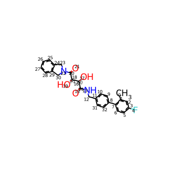 Cc1cc(F)ccc1-c1ccc(CNC(=O)[C@H](O)[C@@H](O)C(=O)N2Cc3ccccc3C2)cc1